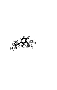 COc1c(C(C#N)(C#N)C(N)=O)ccc(Cl)c1N(C)C